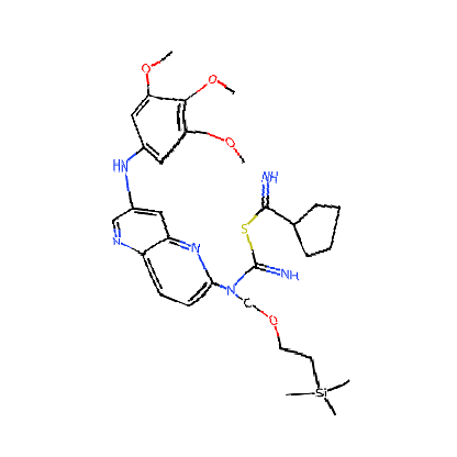 COc1cc(Nc2cnc3ccc(N(COCC[Si](C)(C)C)C(=N)SC(=N)C4CCCC4)nc3c2)cc(OC)c1OC